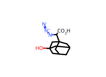 [N-]=[N+]=NC(C(=O)O)C12CC3CC(CC(O)(C3)C1)C2